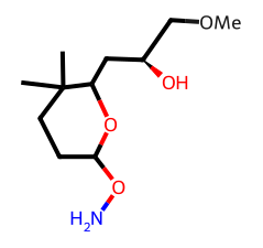 COC[C@@H](O)CC1OC(ON)CCC1(C)C